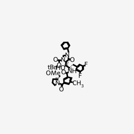 COC[C@H]1CCCN1C(=O)c1cc(C)cc(C(=O)N[C@@H](Cc2cc(F)cc(F)c2)[C@H](O)[C@H]2C(=O)N(Cc3ccccc3)CN2C(=O)OC(C)(C)C)c1